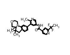 Cc1ncc(NC(=O)c2ccnc(C(C)(F)F)c2)cc1-c1ccc2c(c1)N1CCOC[C@H]1C(C)(C)C2